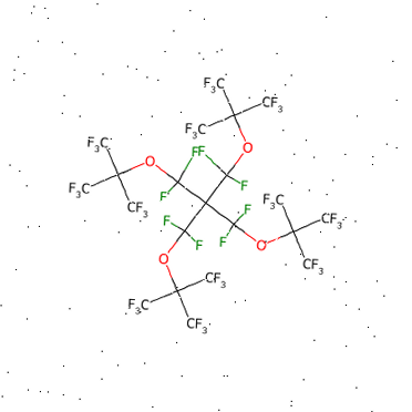 FC(F)(F)C(OC(F)(F)C(C(F)(F)OC(C(F)(F)F)(C(F)(F)F)C(F)(F)F)(C(F)(F)OC(C(F)(F)F)(C(F)(F)F)C(F)(F)F)C(F)(F)OC(C(F)(F)F)(C(F)(F)F)C(F)(F)F)(C(F)(F)F)C(F)(F)F